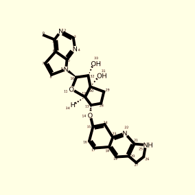 Cc1ncnc2c1ccn2[C@@H]1O[C@@H]2[C@@H](Oc3ccc4cc5c(nc4c3)NCC5)CC[C@]2(O)[C@H]1O